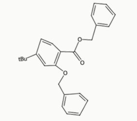 CC(C)(C)c1ccc(C(=O)OCc2ccccc2)c(OCc2ccccc2)c1